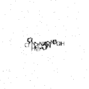 O=C(CNc1ccccc1Cl)Nc1c(Cl)ccc2nc(N3CC[C@@H](O)C3)ccc12